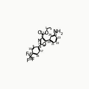 CCOC(=O)c1nc(-c2ccc(C(F)(F)F)cc2)oc1-c1cccc(N)c1